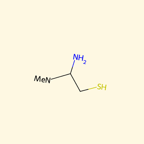 CNC(N)CS